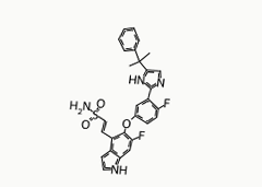 CC(C)(c1ccccc1)c1cnc(-c2cc(Oc3c(F)cc4[nH]ccc4c3/C=C/S(N)(=O)=O)ccc2F)[nH]1